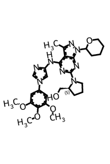 COc1cc(-n2cnc(Nc3nc(N4CCC[C@H]4CO)nc4c3c(C)nn4C3CCCCO3)c2)cc(OC)c1OC